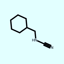 N#CNCC1CCCCC1